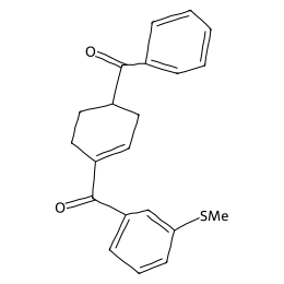 CSc1cccc(C(=O)C2=CCC(C(=O)c3ccccc3)CC2)c1